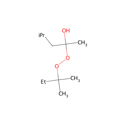 CCC(C)(C)OOC(C)(O)CC(C)C